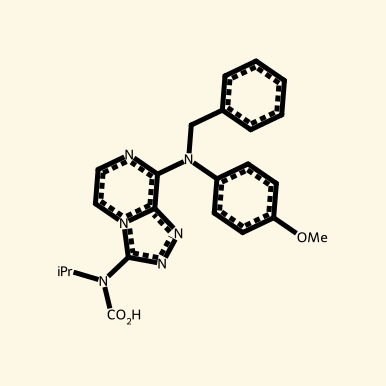 COc1ccc(N(Cc2ccccc2)c2nccn3c(N(C(=O)O)C(C)C)nnc23)cc1